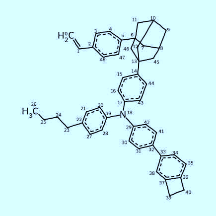 C=Cc1ccc(C23CC4CC(C2)CC(c2ccc(N(c5ccc(CCCC)cc5)c5ccc(-c6ccc7c(c6)CC7)cc5)cc2)(C4)C3)cc1